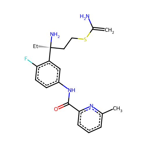 C=C(N)SCC[C@@](N)(CC)c1cc(NC(=O)c2cccc(C)n2)ccc1F